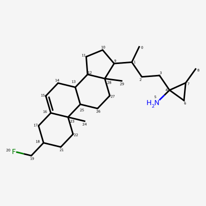 CC(CCC1(N)CC1C)C1CCC2C3CC=C4CC(CF)CCC4(C)C3CCC12C